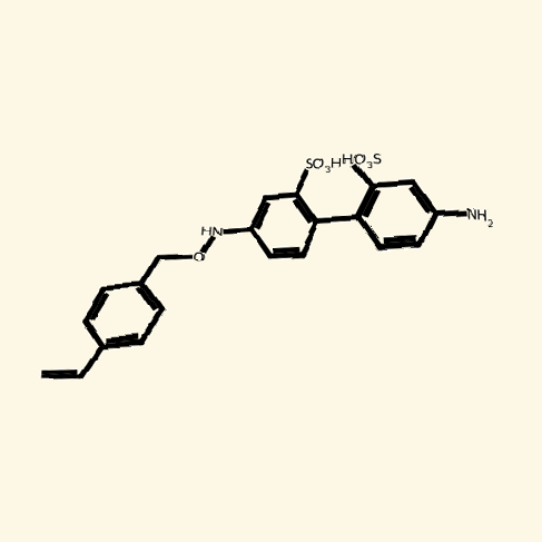 C=Cc1ccc(CONc2ccc(-c3ccc(N)cc3S(=O)(=O)O)c(S(=O)(=O)O)c2)cc1